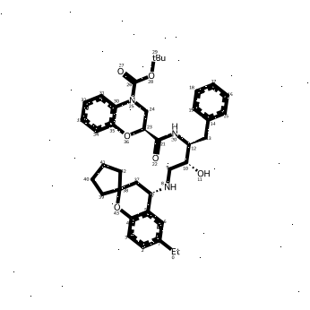 CCc1ccc2c(c1)[C@@H](NC[C@@H](O)[C@H](Cc1ccccc1)NC(=O)[C@@H]1CN(C(=O)OC(C)(C)C)c3ccccc3O1)CC1(CCCC1)O2